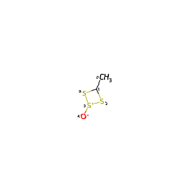 CC1S[S+]([O-])S1